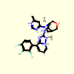 Cc1cc(N2C[C@@H]3COC[C@H]2C3Nc2nc3c(-c4ccc(F)c(F)c4F)cccn3n2)ncn1